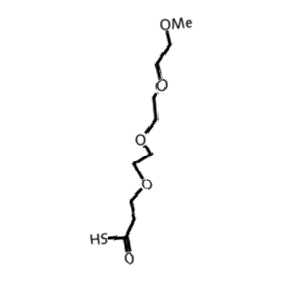 COCCOCCOCCOCCC(=O)S